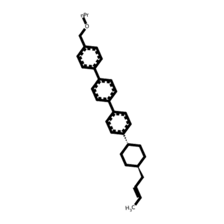 CC=CC[C@H]1CC[C@H](c2ccc(-c3ccc(-c4ccc(COCCC)cc4)cc3)cc2)CC1